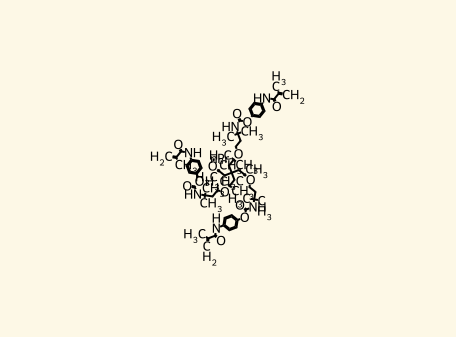 C=C(C)C(=O)Nc1ccc(OC(=O)NC(C)(C)CCOC(C)(C)CC(CC(C)(C)OCCC)(CC(C)(C)OCCC(C)(C)NC(=O)Oc2ccc(NC(=O)C(=C)C)cc2)CC(C)(C)OCCC(C)(C)NC(=O)Oc2ccc(NC(=O)C(=C)C)cc2)cc1